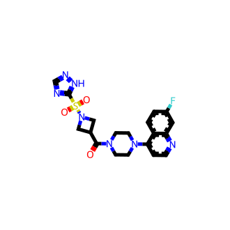 O=C(C1CN(S(=O)(=O)c2ncn[nH]2)C1)N1CCN(c2ccnc3cc(F)ccc23)CC1